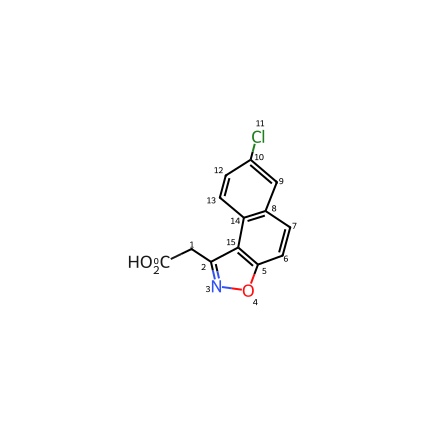 O=C(O)Cc1noc2ccc3cc(Cl)ccc3c12